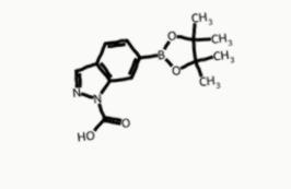 CC1(C)OB(c2ccc3cnn(C(=O)O)c3c2)OC1(C)C